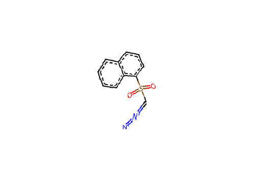 [N-]=[N+]=CS(=O)(=O)c1cccc2ccccc12